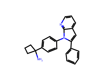 NC1(c2ccc(-n3c(-c4ccccc4)cc4cccnc43)cc2)CCC1